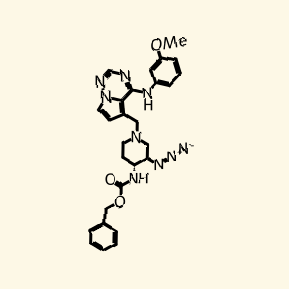 COc1cccc(Nc2ncnn3ccc(CN4CC[C@@H](NC(=O)OCc5ccccc5)C(N=[N+]=[N-])C4)c23)c1